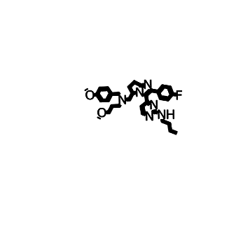 CCCCNc1nccc(-c2c(-c3ccc(F)cc3)nc3n2C(CN(CCCOC)Cc2ccc(OC)cc2)CC3)n1